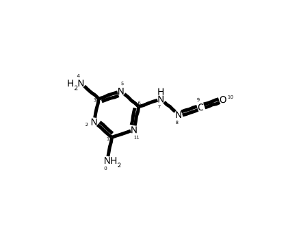 Nc1nc(N)nc(NN=C=O)n1